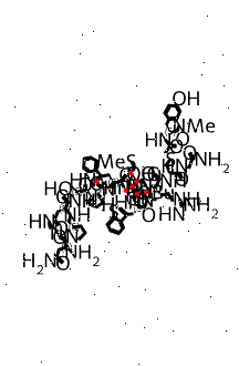 CCCC[C@@H](C(=O)N(C)[C@@H](CCSC)C(=O)N[C@@H](CCCNC(=N)N)C(=O)NC(CSCC(=O)N[C@@H](Cc1ccc(O)cc1)C(=O)NC)C(=O)NCC(N)=O)N(C)C(=O)[C@H](Cc1csc2ccccc12)NC(=O)[C@H](CO)NC(=O)[C@H](Cc1c[nH]c2ccccc12)NC(=O)[C@@H]1CCCN1C(=O)[C@H](CO)NC(=O)[C@H](Cc1cnc[nH]1)NC(=O)[C@@H]1CCCN1C(=O)[C@@H](N)CC(N)=O